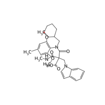 CNC(=O)C(Cn1ccc2ccccc21)(C(=O)O)C(=O)N(CC1CCCCC1)c1c(OC)cc(C)cc1OC